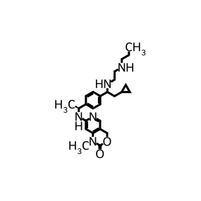 CCCNCCNC(CC1CC1)c1ccc([C@H](C)Nc2cc3c(cn2)COC(=O)N3C)cc1